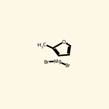 [Br][Mg][Br].[CH2]c1ccco1